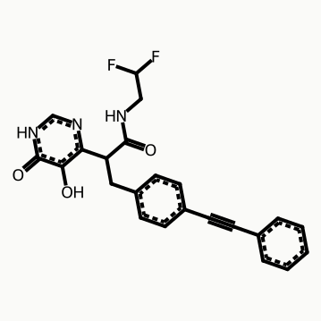 O=C(NCC(F)F)C(Cc1ccc(C#Cc2ccccc2)cc1)c1nc[nH]c(=O)c1O